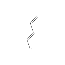 [CH]C=C[C]=[CH]